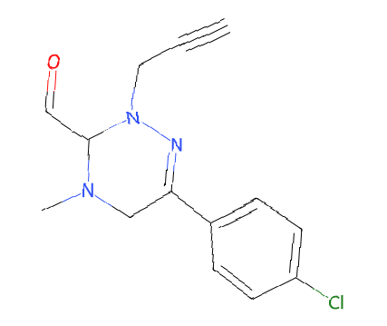 C#CCN1N=C(c2ccc(Cl)cc2)CN(C)C1C=O